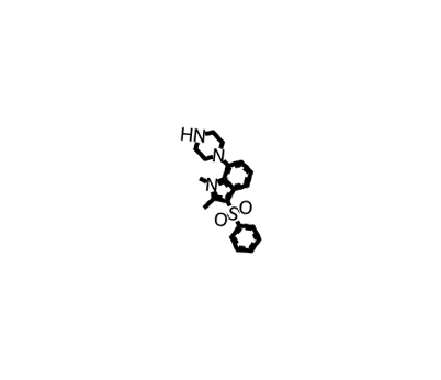 Cc1c(S(=O)(=O)c2ccccc2)c2cccc(N3CCNCC3)c2n1C